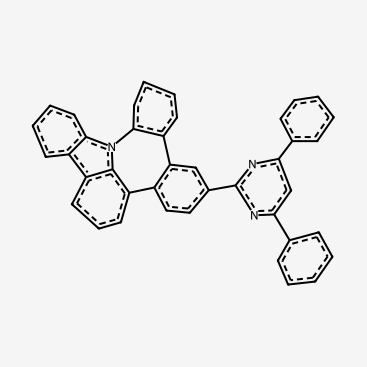 c1ccc(-c2cc(-c3ccccc3)nc(-c3ccc4c(c3)-c3ccccc3-n3c5ccccc5c5cccc-4c53)n2)cc1